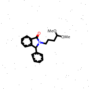 COC(CCCN1C(=O)c2ccccc2C1c1ccccc1)OC